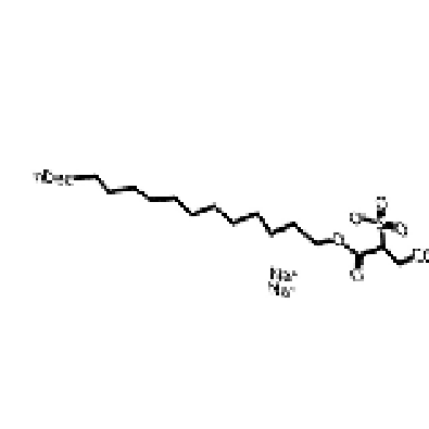 CCCCCCCCCCCCCCCCCCCCCCOC(=O)C(CC(=O)[O-])S(=O)(=O)[O-].[Na+].[Na+]